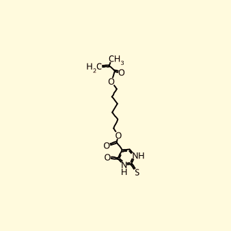 C=C(C)C(=O)OCCCCCCOC(=O)c1c[nH]c(=S)[nH]c1=O